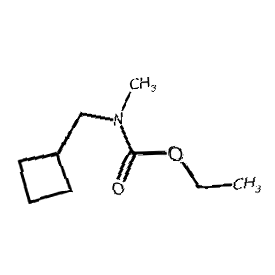 CCOC(=O)N(C)CC1CCC1